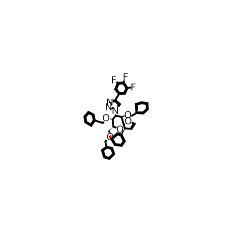 Fc1cc(-c2cn([C@H]3[C@@H](OCc4ccccc4)[C@@H](COCc4ccccc4)O[C@]4(OC=C[C@H]4c4ccccc4)[C@@H]3OCc3ccccc3)nn2)cc(F)c1F